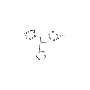 [Fe+2].c1ccc(CN(Cc2ccccn2)Cc2ccccn2)nc1